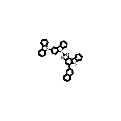 c1ccc2cc(-c3cc4nc(-n5c6ccccc6c6cc(-n7c8ccccc8c8ccccc87)ccc65)oc4c4c3sc3ccccc34)ccc2c1